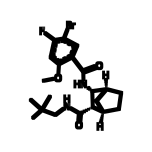 COc1cc(F)c(Br)cc1C(=O)N[C@@H]1[C@H]2CC[C@H](C2)[C@@H]1C(=O)NCC(C)(C)C